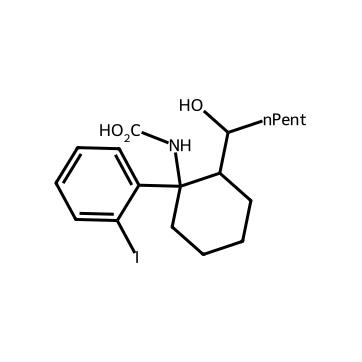 CCCCCC(O)C1CCCCC1(NC(=O)O)c1ccccc1I